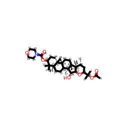 CC(=O)OC(C)(C)C1C[C@@H](C)[C@H]2C(O1)[C@H](O)[C@@]1(C)C3CC[C@H]4C(C)(C)C(OC(=O)N5CCOCC5)CC[C@@]45C[C@@]35CC[C@]21C